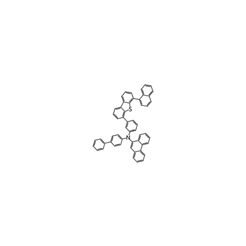 c1ccc(-c2ccc(N(c3cccc(-c4cccc5c4sc4c(-c6cccc7ccccc67)cccc45)c3)c3cc4ccccc4c4ccccc34)cc2)cc1